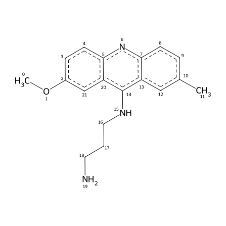 COc1ccc2nc3ccc(C)cc3c(NCCCN)c2c1